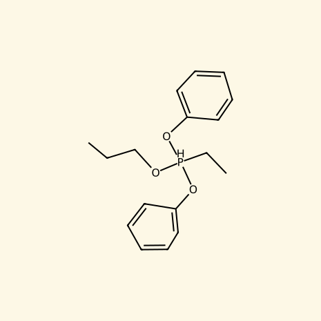 CCCO[PH](CC)(Oc1ccccc1)Oc1ccccc1